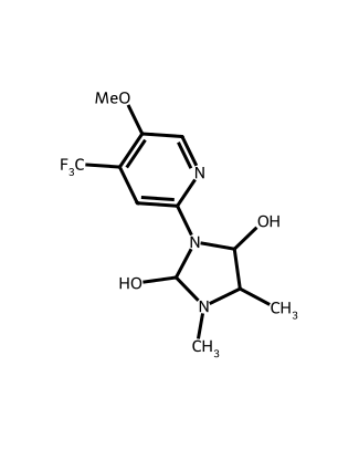 COc1cnc(N2C(O)C(C)N(C)C2O)cc1C(F)(F)F